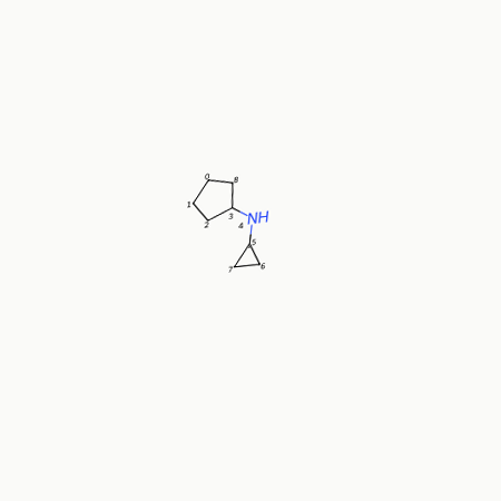 C1CCC(N[C]2CC2)C1